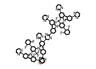 Fc1cccc(F)c1-c1cc(-n2c3ccc(-c4ncccn4)cc3c3cc(-c4ncccn4)ccc32)c(C(F)(F)F)c(-n2c3ccc(-c4ncccn4)cc3c3cc(-c4ncc(-c5cc6c7ccc(-c8ncccn8)cc7n(-c7cc(-c8c(F)cccc8F)cc(-n8c9cc(-c%10ncccn%10)ccc9c9ccc(-c%10ncccn%10)cc98)c7C(F)(F)F)c6cc5-c5ncccn5)cn4)ccc32)c1